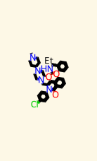 CC[C@H](NC(=O)Oc1c(CN2CCN(C3CCN(C)CC3)CC2)n(-c2ccc(Cl)cc2)c(=O)c2ccccc12)c1ccccc1